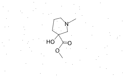 COC(=O)C1(O)CCCN(C)C1